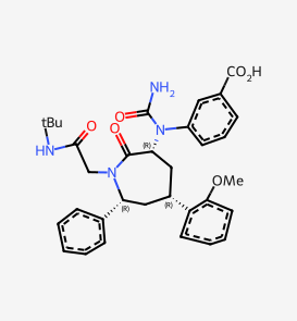 COc1ccccc1[C@@H]1C[C@H](c2ccccc2)N(CC(=O)NC(C)(C)C)C(=O)[C@H](N(C(N)=O)c2cccc(C(=O)O)c2)C1